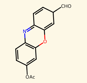 CC(=O)Oc1ccc2c(c1)OC1=CC(C=O)C=CC1=N2